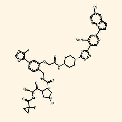 CNc1cc(-c2ccc3cc(C#N)cnn23)ncc1-c1nnc([C@H]2CC[C@H](NC(=O)COc3cc(-c4scnc4C)ccc3CNC(=O)[C@@H]3C[C@@H](O)CC3C(=O)[C@@H](NC(=O)C3(F)CC3)C(C)(C)C)CC2)s1